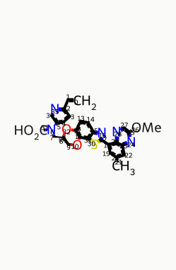 C=Cc1ccc(N(C[C@@H]2COc3c(ccc4nc(-c5cc(C)cc6nc(OC)cnc56)sc34)O2)C(=O)O)cn1